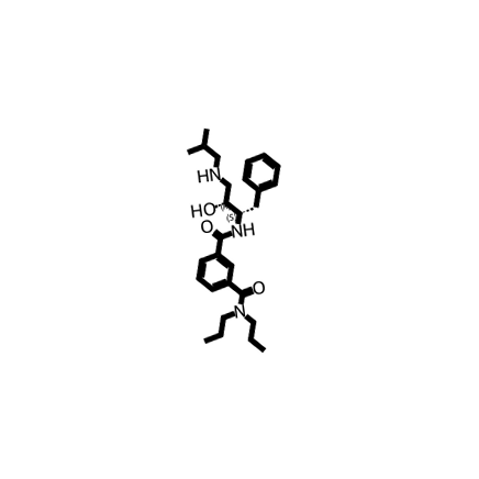 CCCN(CCC)C(=O)c1cccc(C(=O)N[C@@H](Cc2ccccc2)[C@H](O)CNCC(C)C)c1